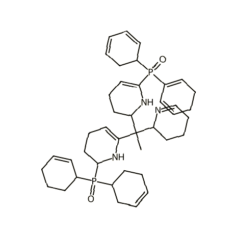 CC(C1=CCCC(P(=O)(C2C=CCCC2)C2CC=CCC2)N1)(C1CCCC=N1)C1CCC=C(P(=O)(C2=CCCC=C2)C2C=CC=CC2)N1